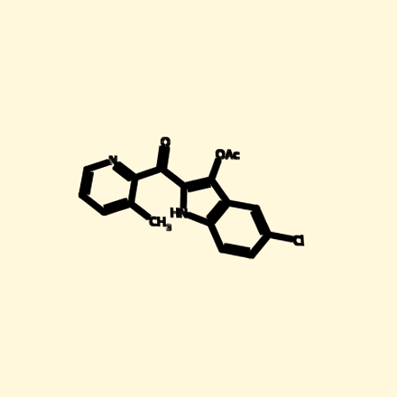 CC(=O)Oc1c(C(=O)c2ncccc2C)[nH]c2ccc(Cl)cc12